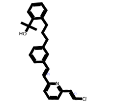 CC(C)(O)c1ccccc1CCCc1cccc(/C=C/c2cccc(/C=C/Cl)n2)c1